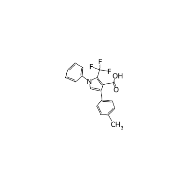 Cc1ccc(-c2cn(-c3ccccc3)c(C(F)(F)F)c2C(=O)O)cc1